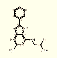 CCCCC(CC)CNc1nc(C)[nH]c2cc(-c3ccccc3)nc1-2